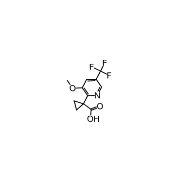 COc1cc(C(F)(F)F)cnc1C1(C(=O)O)CC1